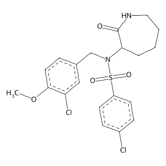 COc1ccc(CN(C2CCCCNC2=O)S(=O)(=O)c2ccc(Cl)cc2)cc1Cl